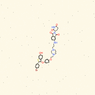 O=C1CCC(N2C(=O)c3ccc(NCCCN4CCCN(CCOc5ccc(Oc6c(-c7ccc(Br)cc7)sc7cc(O)ccc67)cc5)CC4)cc3C2=O)C(=O)N1